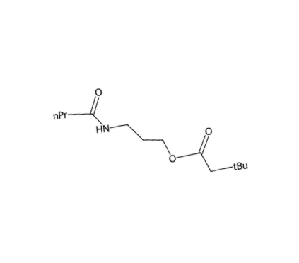 CCCC(=O)NCCCOC(=O)CC(C)(C)C